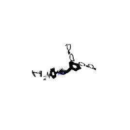 COCOc1ccc(/C=C/c2ccc(N)cc2)cc1OCOC